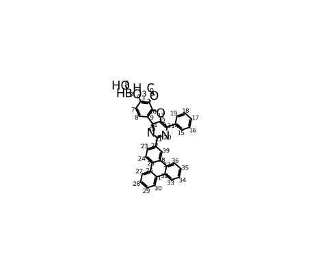 COc1c(OBO)ccc2c1oc1c(-c3ccccc3)nc(-c3ccc4c5ccccc5c5ccccc5c4c3)nc12